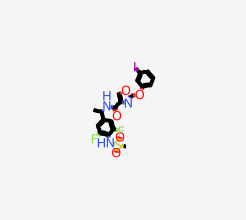 CC(NC(=O)c1coc(Oc2cccc(I)c2)n1)c1cc(F)c(NS(C)(=O)=O)c(F)c1